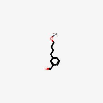 COCCCCc1cccc(C=O)c1